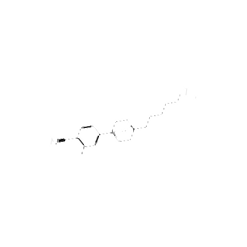 CCCCCCC12CCC(c3ccc(C#N)c(F)c3)(CC1)CC2